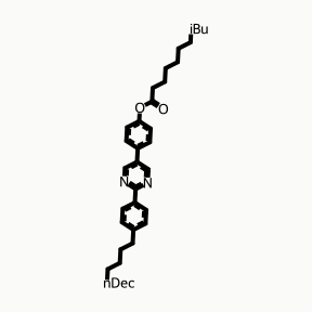 CCCCCCCCCCCCCCc1ccc(-c2ncc(-c3ccc(OC(=O)CCCCCCC(C)CC)cc3)cn2)cc1